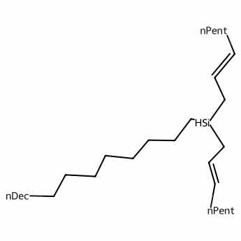 CCCCCC=CC[SiH](CC=CCCCCC)CCCCCCCCCCCCCCCCCC